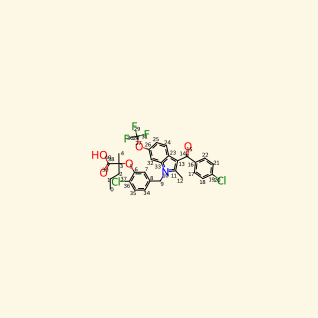 CCCC(C)(Oc1cc(Cn2c(C)c(C(=O)c3ccc(Cl)cc3)c3ccc(OC(F)(F)F)cc32)ccc1Cl)C(=O)O